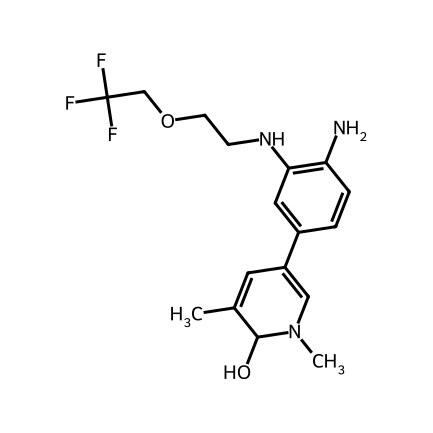 CC1=CC(c2ccc(N)c(NCCOCC(F)(F)F)c2)=CN(C)C1O